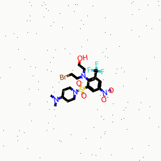 CN(C)C1CCN(S(=O)(=O)c2cc([N+](=O)[O-])cc(C(F)(F)F)c2N(CCO)CCBr)CC1